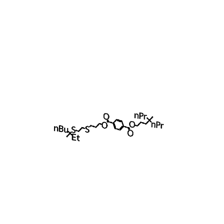 CCCCC(C)(CC)SCCSCCCOC(=O)c1ccc(C(=O)OCCCC(C)(CCC)CCC)cc1